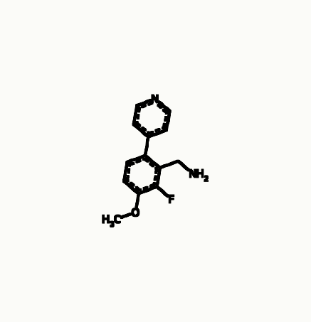 COc1ccc(-c2ccncc2)c(CN)c1F